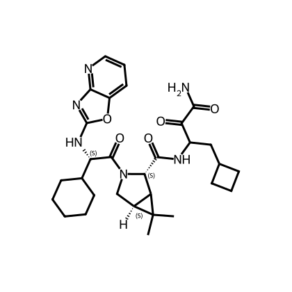 CC1(C)C2[C@@H](C(=O)NC(CC3CCC3)C(=O)C(N)=O)N(C(=O)[C@@H](Nc3nc4ncccc4o3)C3CCCCC3)C[C@@H]21